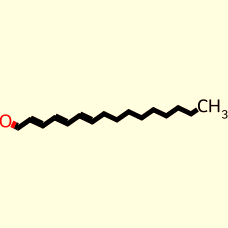 CCCCCCCCCC=CC=CC=CC=O